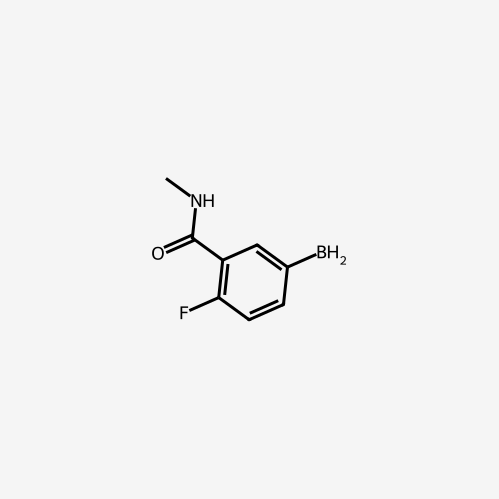 Bc1ccc(F)c(C(=O)NC)c1